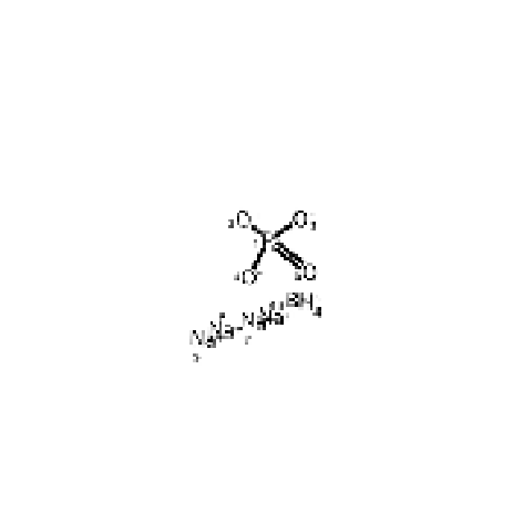 O=P([O-])([O-])[O-].[BH4-].[Na+].[Na+].[Na+].[Na+]